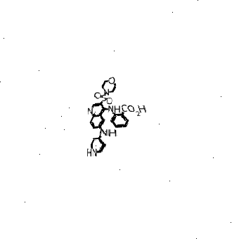 O=C(O)c1ccccc1Nc1c(S(=O)(=O)N2CCOCC2)cnc2ccc(NC3CCNCC3)cc12